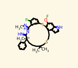 CN/C1=N\C(=N)[C@@](C)(c2ccccc2)CCCC(C)(C)CSCCc2c(c(OF)cc3[nH]ccc23)Sc2ccc(F)c1c2